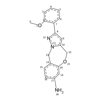 COc1ccccc1-c1cc2n(n1)Cc1ccc(N)cc1OC2